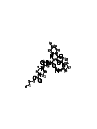 CCCCOC(=O)N1CCN(C(=O)CNC(=O)c2cc(O[C@H](C)C(=O)N3CCCC3C#N)c3ccc(C)cc3n2)CC1